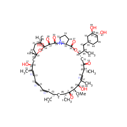 CO[C@H]1C(=O)[C@H](C)C[C@H](C)/C=C/C=C/C=C(\C)[C@@H](O)C[C@@H]2CC[C@@H](C)[C@@](O)(O2)C(=O)C(=O)N2CCCC2C(=O)O[C@H]([C@H](C)C[C@@H]2CC[C@@H](O)[C@H](O)C2)CC(=O)[C@H](C)/C=C(\C)[C@H]1O